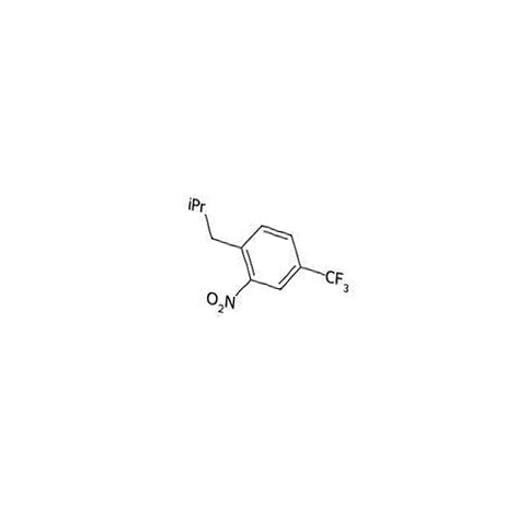 CC(C)Cc1ccc(C(F)(F)F)cc1[N+](=O)[O-]